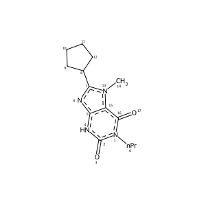 CCCn1c(=O)[nH]c2nc(C3CCCC3)n(C)c2c1=O